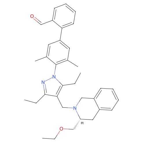 CCOC[C@H]1Cc2ccccc2CN1Cc1c(CC)nn(-c2c(C)cc(-c3ccccc3C=O)cc2C)c1CC